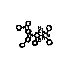 Cc1cc(-n2c3ccc(-c4ccccc4)cc3c3cc4c(cc32)c2ccccc2n4-c2ccccc2)c2c(oc3ccccc32)c1-c1nc(-c2ccccc2)nc(-c2ccccc2)n1